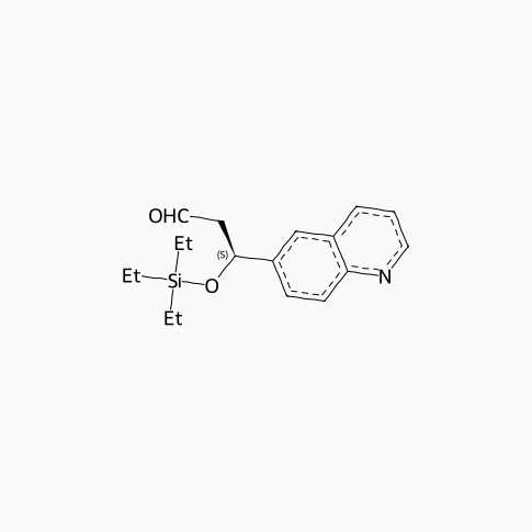 CC[Si](CC)(CC)O[C@@H](CC=O)c1ccc2ncccc2c1